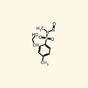 CCO.Cc1ccc(S(=O)(=O)N(C)N=O)cc1